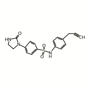 C#CCc1ccc(NS(=O)(=O)c2ccc(N3CCNC3=O)cc2)cc1